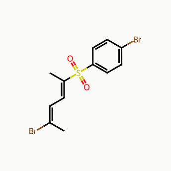 C/C(Br)=C\C=C(/C)S(=O)(=O)c1ccc(Br)cc1